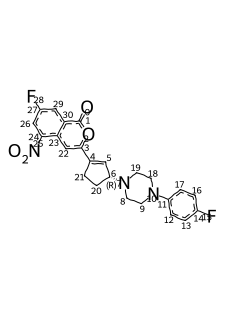 O=c1oc(C2=C[C@H](N3CCN(c4ccc(F)cc4)CC3)CC2)cc2c([N+](=O)[O-])cc(F)cc12